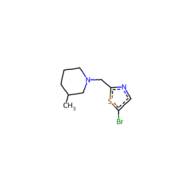 CC1CCCN(Cc2ncc(Br)s2)C1